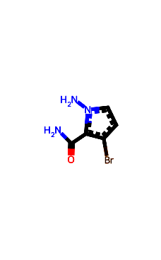 NC(=O)c1c(Br)ccn1N